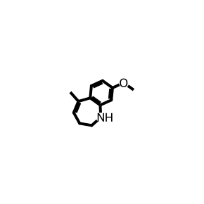 COc1ccc2c(c1)NCCC=C2C